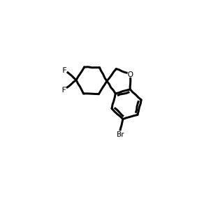 FC1(F)CCC2(CC1)COc1ccc(Br)cc12